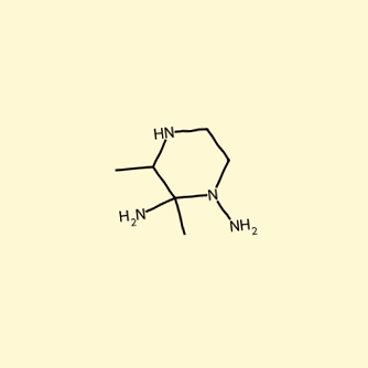 CC1NCCN(N)C1(C)N